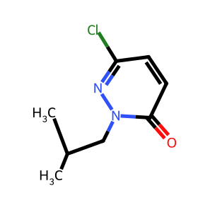 CC(C)Cn1nc(Cl)ccc1=O